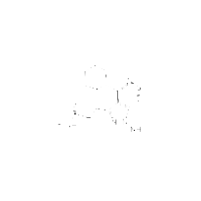 CNC(=O)CCc1nn(N)c2ccnc(C3CCCCC3)c12